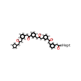 CCCCCCCC(=O)Cc1cccc(CC(=O)c2cccc(CC(=O)Cc3cccc(C(=O)Cc4cccc(CC(=O)CC5CCCC5)c4)c3)c2)c1